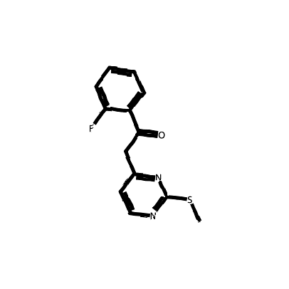 CSc1nccc(CC(=O)c2ccccc2F)n1